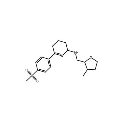 CC1CCOC1CNC1CCCC(c2ccc(S(C)(=O)=O)cc2)=N1